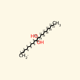 [CH2]CCCCCCCCCC(O)C(O)CCCCCCCCCC